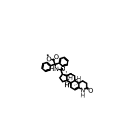 COC(=O)C(NC(=O)C1CC[C@H]2[C@@H]3CC=C4NC(=O)CC[C@]4(C)[C@@H]3CC[C@]12C)(c1ccccc1)c1ccccc1